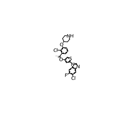 C[C@@H](Oc1csc(-n2cnc3cc(Cl)c(F)cc32)c1)c1cccc(OC2CCNCC2)c1Cl